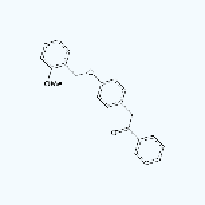 COc1ccccc1COc1ccc(CC(=O)c2ccccc2)cc1